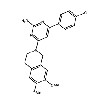 COc1cc2c(cc1OC)CN(c1cc(-c3ccc(Cl)cc3)nc(N)n1)CC2